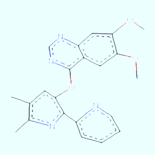 COc1cc2ncnc(Oc3cc(C)c(C)nc3-c3ccccn3)c2cc1OC